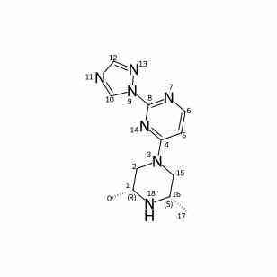 C[C@@H]1CN(c2ccnc(-n3cncn3)n2)C[C@H](C)N1